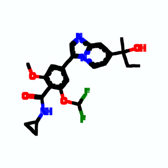 CCC(C)(O)c1ccn2c(-c3cc(OC)c(C(=O)NC4CC4)c(OC(F)F)c3)cnc2c1